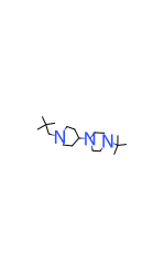 CC(C)(C)CN1CCC(N2CCN(C(C)(C)C)CC2)CC1